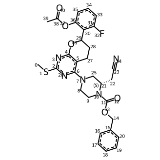 CSc1nc2c(c(N3CCN(C(=O)OCc4ccccc4)[C@@H](CC#N)C3)n1)CCC(c1c(F)cccc1OC(C)=O)O2